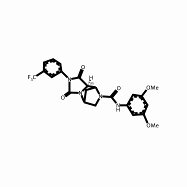 COc1cc(NC(=O)N2CC3CC2[C@@H]2C(=O)N(c4cccc(C(F)(F)F)c4)C(=O)N32)cc(OC)c1